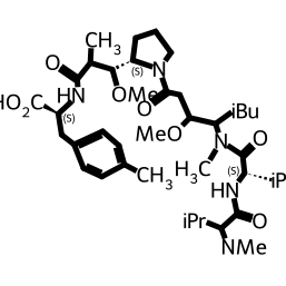 CCC(C)C(C(CC(=O)N1CCC[C@H]1C(OC)C(C)C(=O)N[C@@H](Cc1ccc(C)cc1)C(=O)O)OC)N(C)C(=O)[C@@H](NC(=O)C(NC)C(C)C)C(C)C